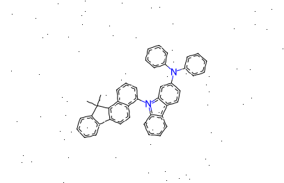 CC1(C)c2ccccc2-c2ccc3c(-n4c5ccccc5c5ccc(N(c6ccccc6)c6ccccc6)cc54)cccc3c21